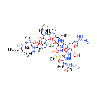 CCSSC[C@H](NC(=O)[C@@H](NC(=O)[C@H](C)N)[C@@H](C)CC)C(=O)N[C@@H](CO)C(=O)N[C@@H](CCCNC(=N)N)C(=O)N[C@@H](CO)C(=O)N[C@@H](CC(C)C)C(=O)N1CCC[C@H]1C(=O)N1[C@H](C(=O)N[C@H](C(=O)N[C@@H](CC)C(=O)N[C@H](C(=O)N2CCC[C@H]2C(=O)N[C@@H](CC(=O)O)C(=O)O)[C@@H](C)CC)[C@@H](C)CC)C[C@@H]2CCCC[C@@H]21